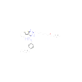 COC(=O)CCCCCCc1nc(NCc2ccc(OC)c(Cl)c2)c2c3c(sc2n1)CCCC3